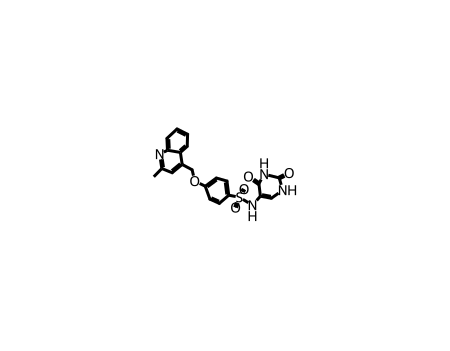 Cc1cc(COc2ccc(S(=O)(=O)Nc3c[nH]c(=O)[nH]c3=O)cc2)c2ccccc2n1